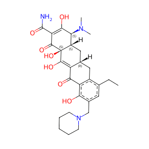 CCc1cc(CN2CCCCC2)c(O)c2c1C[C@H]1C[C@H]3[C@H](N(C)C)C(O)=C(C(N)=O)C(=O)[C@@]3(O)C(O)=C1C2=O